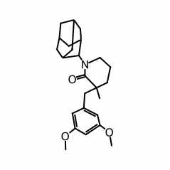 COc1cc(CC2(C)CCCN(C3C4CC5CC(C4)CC3C5)C2=O)cc(OC)c1